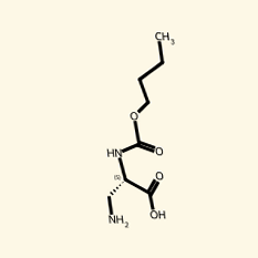 CCCCOC(=O)N[C@@H](CN)C(=O)O